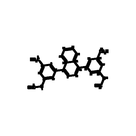 O=COc1cc(C(=O)O)cc(-c2ccc(-c3cc(OC=O)cc(C(=O)O)c3)c3ccccc23)c1